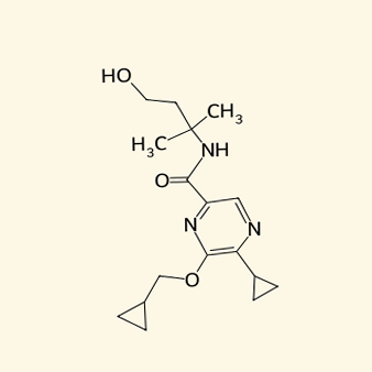 CC(C)(CCO)NC(=O)c1cnc(C2CC2)c(OCC2CC2)n1